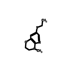 CCSc1cnc2c(c1)OCCN2C